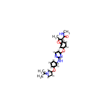 CNC(=O)c1c(C)oc2cc(Oc3ccnc(Nc4cccc(OC5CCN(C(C)C)C5)c4)n3)ccc12